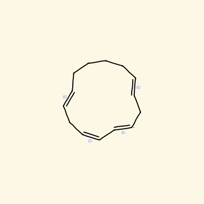 [C]1=C/C=C\C/C=C/CCCC/C=C/C/1